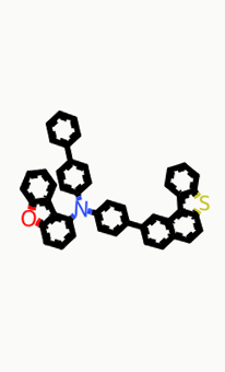 c1ccc(-c2ccc(N(c3ccc(-c4ccc5ccc6sc7ccccc7c6c5c4)cc3)c3cccc4oc5ccccc5c34)cc2)cc1